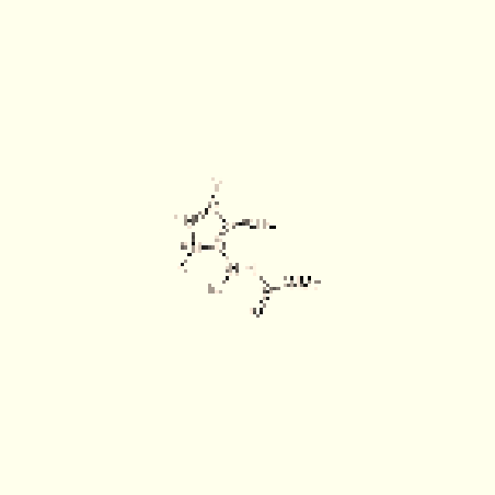 CCN(CC(=O)NC)c1c(C=O)c(C)nn1C